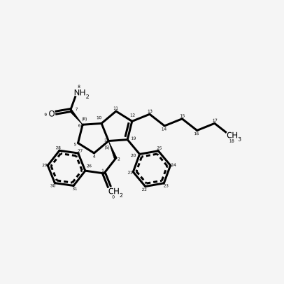 C=C(C[C@@]12CC[C@@H](C(N)=O)C1CC(CCCCCC)=C2c1ccccc1)c1ccccc1